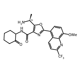 COc1ccc(-c2nc(C(=O)NC3CCCCC3=O)c([C@H](C)N)o2)c2ccc(C(F)(F)F)nc12